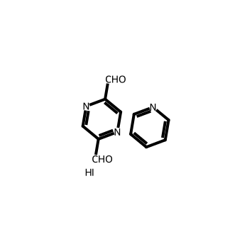 I.O=Cc1cnc(C=O)cn1.c1ccncc1